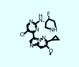 COc1cc2ncc(-c3nc(N[C@H]4CNCC[C@@H]4F)ncc3Cl)n2nc1C1CC1